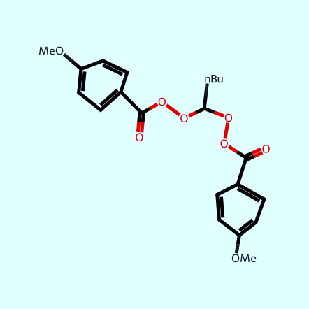 [CH2]CCC[C](OOC(=O)c1ccc(OC)cc1)OOC(=O)c1ccc(OC)cc1